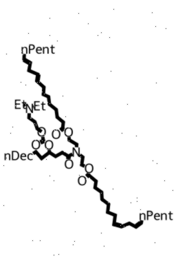 CCCCC/C=C\C/C=C\CCCCCCCC(=O)OCCN(CCOC(=O)CCCCCCC/C=C/C/C=C/CCCCC)C(=O)CCC(CCCCCCCCCCCC)OC(=O)OCCCN(CC)CC